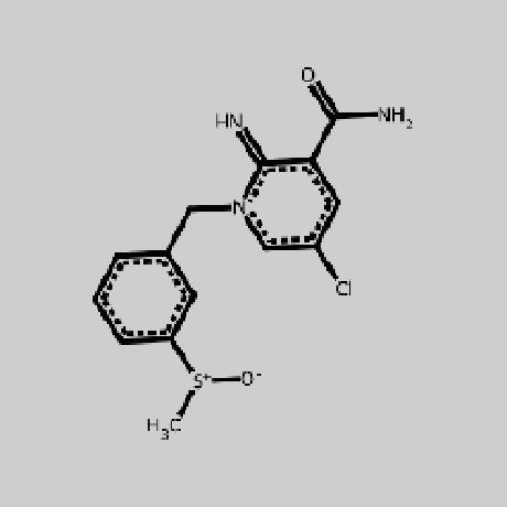 C[S+]([O-])c1cccc(Cn2cc(Cl)cc(C(N)=O)c2=N)c1